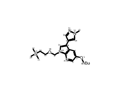 CCCCOc1cnc2c(c1)c(-c1cnn(C)c1)cn2COCC[Si](C)(C)C